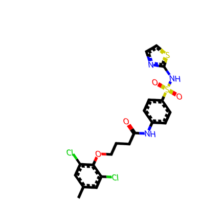 Cc1cc(Cl)c(OCCCC(=O)Nc2ccc(S(=O)(=O)Nc3nccs3)cc2)c(Cl)c1